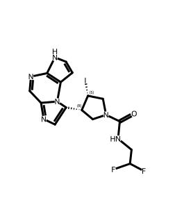 O=C(NCC(F)F)N1C[C@@H](I)[C@@H](c2cnc3cnc4[nH]ccc4n23)C1